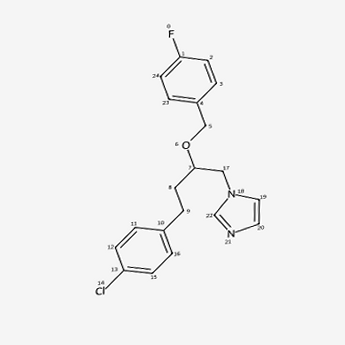 Fc1ccc(COC(CCc2ccc(Cl)cc2)Cn2ccnc2)cc1